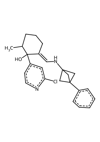 CC1CCC/C(=C\NC23CC(c4ccccc4)(C2)C3)C1(O)c1ccnc(Cl)c1